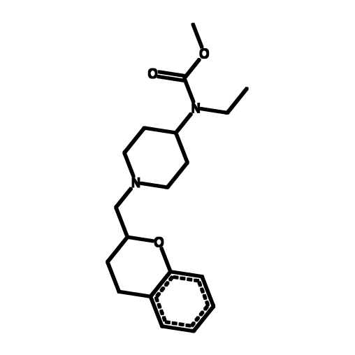 CCN(C(=O)OC)C1CCN(CC2CCc3ccccc3O2)CC1